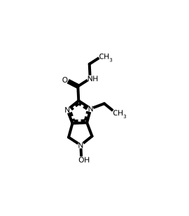 CCNC(=O)c1nc2c(n1CC)CN(O)C2